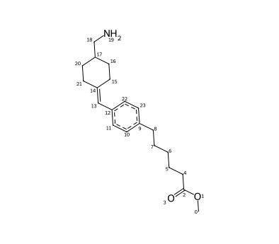 COC(=O)CCCCCc1ccc(C=C2CCC(CN)CC2)cc1